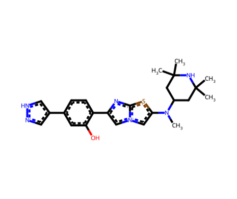 CN(c1cn2cc(-c3ccc(-c4cn[nH]c4)cc3O)nc2s1)C1CC(C)(C)NC(C)(C)C1